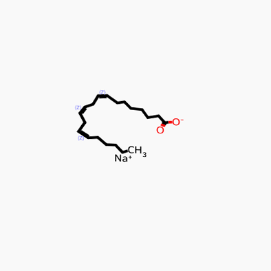 CCCCC/C=C\C/C=C\C/C=C\CCCCCCC(=O)[O-].[Na+]